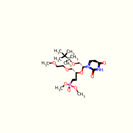 COCCOC[C@@H](/C=C/P(=O)(OC)OC)O[C@H](CO[Si](C)(C)C(C)(C)C)n1ccc(=O)[nH]c1=O